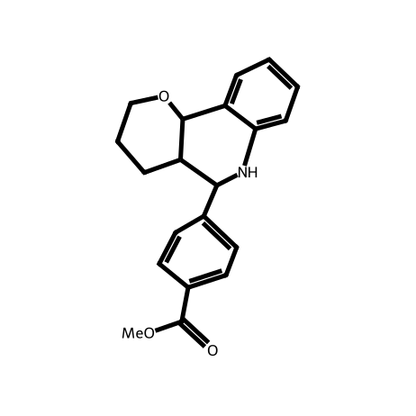 COC(=O)c1ccc(C2Nc3ccccc3C3OCCCC23)cc1